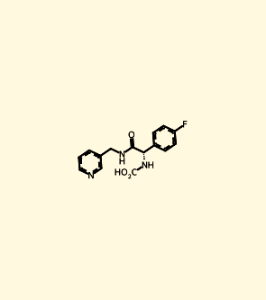 O=C(O)N[C@H](C(=O)NCc1cccnc1)c1ccc(F)cc1